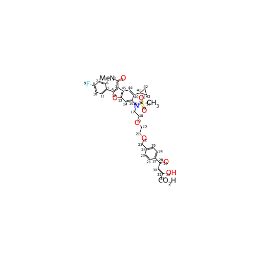 CNC(=O)c1c(-c2ccc(F)cc2)oc2cc(N(CCOCCOCc3ccc(C(=O)C=C(O)C(=O)O)cc3)S(C)(=O)=O)c(C3CC3)cc12